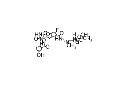 CN(CCNC(=O)OC(C)(C)C)CCNC(=O)c1cc2cc([C@]3(CN4Cc5ccc(O)cc5C4=O)NC(=O)NC3=O)oc2cc1F